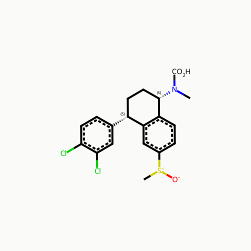 CN(C(=O)O)[C@H]1CC[C@@H](c2ccc(Cl)c(Cl)c2)c2cc([S+](C)[O-])ccc21